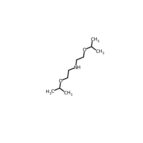 CC(C)OCCNCCOC(C)C